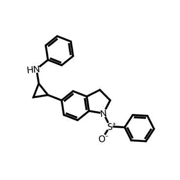 [O-][S+](c1ccccc1)N1CCc2cc(C3CC3Nc3ccccc3)ccc21